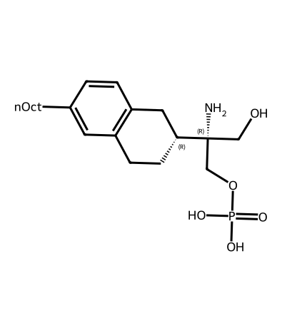 CCCCCCCCc1ccc2c(c1)CC[C@@H]([C@@](N)(CO)COP(=O)(O)O)C2